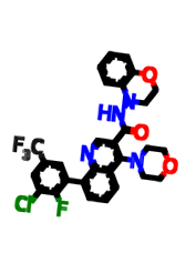 O=C(NN1CCOc2ccccc21)c1cnc2c(-c3cc(C(F)(F)F)cc(Cl)c3F)cccc2c1N1CCOCC1